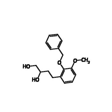 COc1cccc(CCC(O)CO)c1OCc1ccccc1